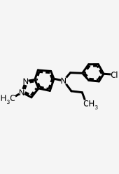 CCCN(Cc1ccc(Cl)cc1)c1ccc2nn(C)cc2c1